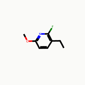 CCc1ccc(OC)nc1F